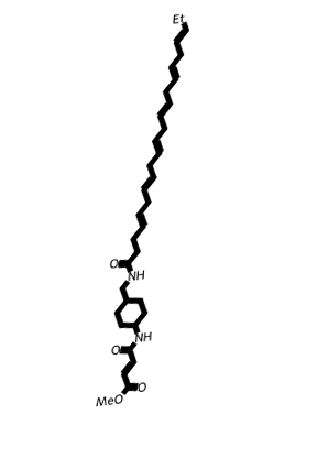 CCC=CCC=CCC=CCC=CCC=CCC=CCCC(=O)NCC1CCC(NC(=O)C=CC(=O)OC)CC1